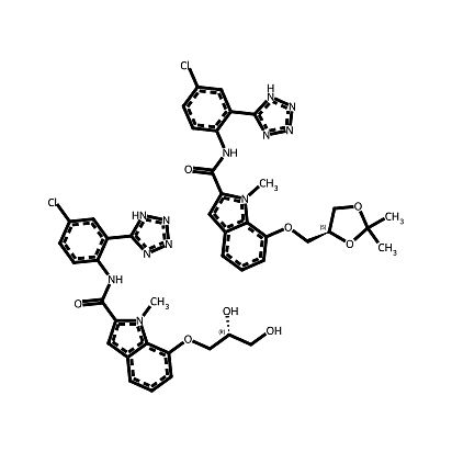 Cn1c(C(=O)Nc2ccc(Cl)cc2-c2nnn[nH]2)cc2cccc(OC[C@H](O)CO)c21.Cn1c(C(=O)Nc2ccc(Cl)cc2-c2nnn[nH]2)cc2cccc(OC[C@H]3COC(C)(C)O3)c21